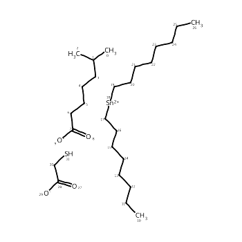 CC(C)CCCCC(=O)[O-].CCCCCCC[CH2][Sn+2][CH2]CCCCCCC.O=C([O-])CS